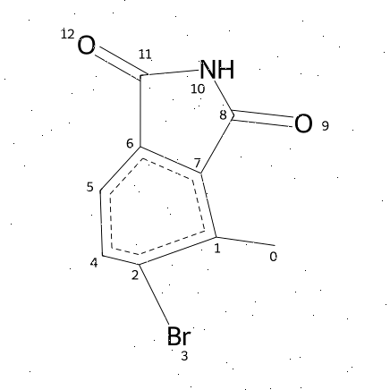 Cc1c(Br)ccc2c1C(=O)NC2=O